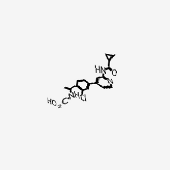 CC(NC(=O)O)c1ccc(-c2ccnc(NC(=O)C3CC3)c2)cc1Cl